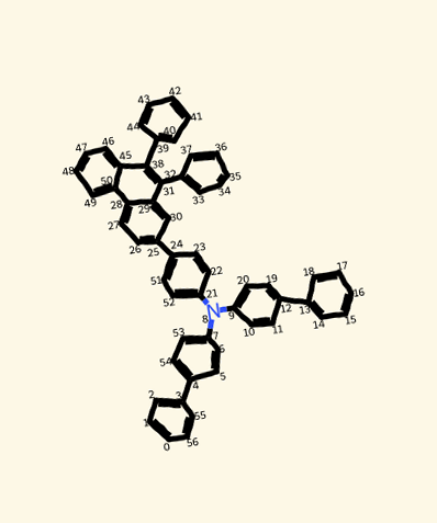 c1ccc(-c2ccc(N(c3ccc(-c4ccccc4)cc3)c3ccc(-c4ccc5c(c4)c(-c4ccccc4)c(-c4ccccc4)c4ccccc45)cc3)cc2)cc1